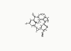 CCN(C(=O)c1cc(F)cc(C2CC2)c1)[C@H](C)c1ncnn1-c1ccc(C#N)cn1